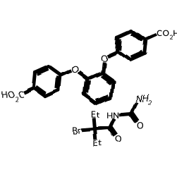 CCC(Br)(CC)C(=O)NC(N)=O.O=C(O)c1ccc(Oc2ccccc2Oc2ccc(C(=O)O)cc2)cc1